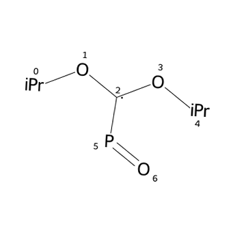 CC(C)O[C](OC(C)C)P=O